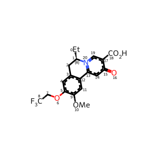 CC[C@@H]1Cc2cc(OCC(F)(F)F)c(OC)cc2-c2cc(=O)c(C(=O)O)cn21